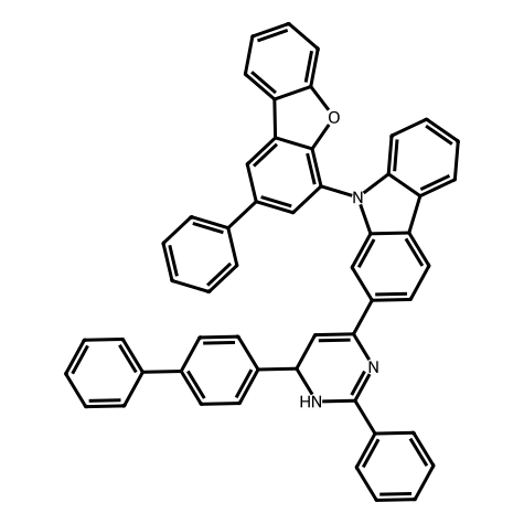 C1=C(c2ccc3c4ccccc4n(-c4cc(-c5ccccc5)cc5c4oc4ccccc45)c3c2)N=C(c2ccccc2)NC1c1ccc(-c2ccccc2)cc1